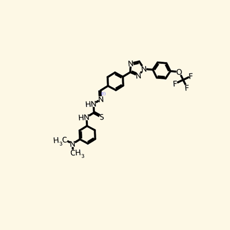 CN(C)C1=CC(NC(=S)N/N=C/C2C=CC(c3ncn(-c4ccc(OC(F)(F)F)cc4)n3)=CC2)CC=C1